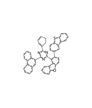 C1=CCCC(c2nc(-c3cc4ccccc4c4ccccc34)nc(-c3c(-c4ccc5sc6ccccc6c5c4)ccc4oc5ccccc5c34)n2)=C1